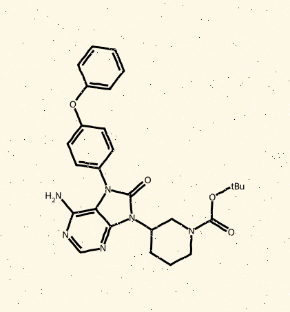 CC(C)(C)OC(=O)N1CCCC(n2c(=O)n(-c3ccc(Oc4ccccc4)cc3)c3c(N)ncnc32)C1